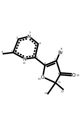 Cc1cncc(C2=C(Br)C(=O)C(C)(C)O2)n1